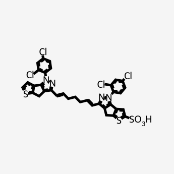 O=S(=O)(O)c1cc2c(s1)Cc1c(/C=C/CCC/C=C/c3nn(-c4ccc(Cl)cc4Cl)c4c3Cc3sccc3-4)nn(-c3ccc(Cl)cc3Cl)c1-2